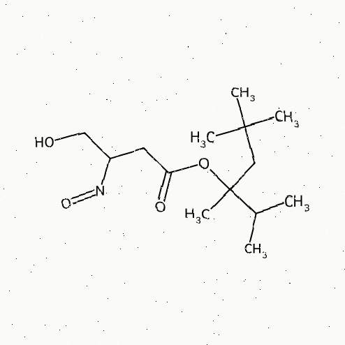 CC(C)C(C)(CC(C)(C)C)OC(=O)CC(CO)N=O